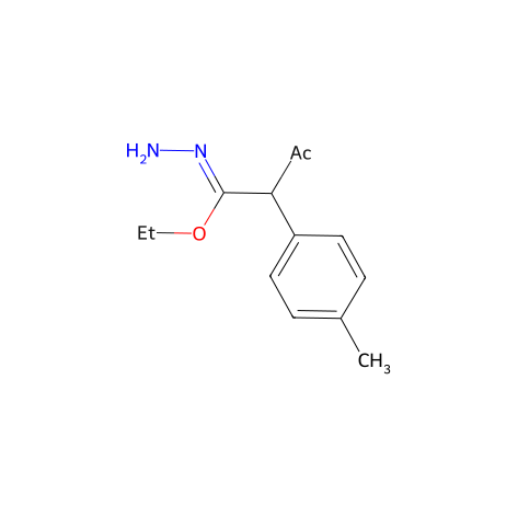 CCOC(=NN)C(C(C)=O)c1ccc(C)cc1